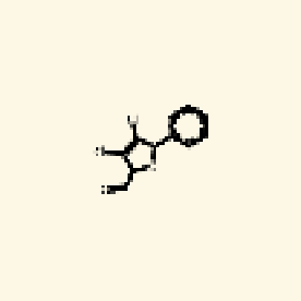 O=CC1OC(c2ccccc2)C(Cl)=C1Cl